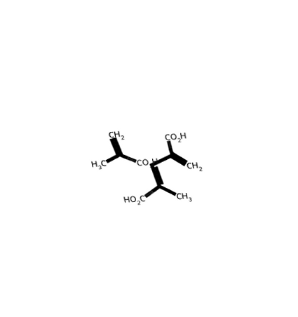 C=C(C)C(=O)O.C=C(C=C(C)C(=O)O)C(=O)O